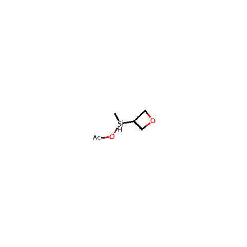 CC(=O)O[SiH](C)C1COC1